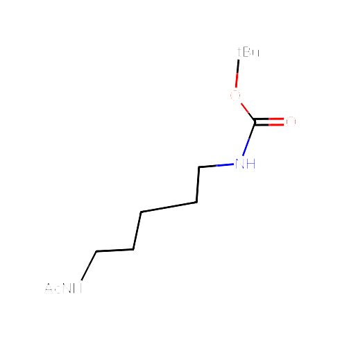 [CH2]C(=O)NCCCCCNC(=O)OC(C)(C)C